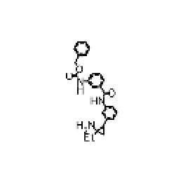 CCC1(N)CC1c1cccc(NC(=O)c2cccc(NC(=O)OCc3ccccc3)c2)c1